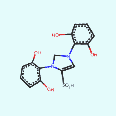 O=S(=O)(O)C1=CN(c2c(O)cccc2O)CN1c1c(O)cccc1O